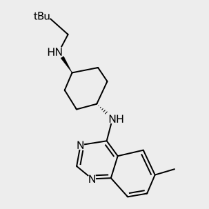 Cc1ccc2ncnc(N[C@H]3CC[C@H](NCC(C)(C)C)CC3)c2c1